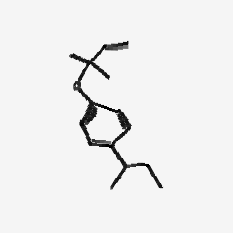 C=CC(C)(C)Oc1ccc(C(C)CC)cc1